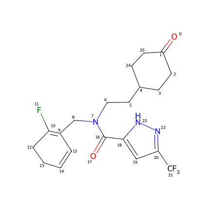 O=C1CCC(CCN(CC2=C(F)CCC=C2)C(=O)c2cc(C(F)(F)F)n[nH]2)CC1